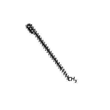 CCCCCCCCCCCCCCCCCCCCCCCCCCCCCCCCCCCCCCCCCCCc1[c]c2cc3ccccc3cc2cc1